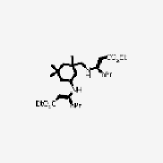 CCCC(=CC(=O)OCC)NCC1(C)CC(NC(=CC(=O)OCC)CCC)CC(C)(C)C1